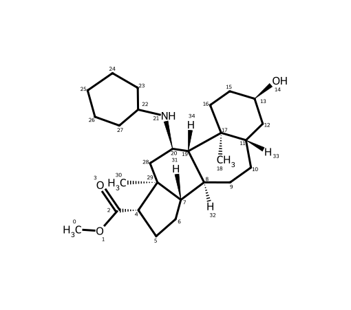 COC(=O)[C@H]1CC[C@H]2[C@@H]3CC[C@H]4C[C@H](O)CC[C@]4(C)[C@H]3[C@H](NC3CCCCC3)C[C@]12C